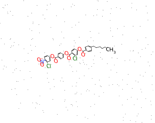 CCCCCCc1ccc(C(=O)Oc2ccc(C(=O)Oc3ccc(C(=O)Oc4ccc([N+](=O)[O-])c(Cl)c4)cc3)c(Cl)c2)cc1